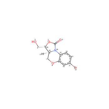 O=C1O[C@@H](CO)[C@@H]2COc3cc(Br)ccc3N12